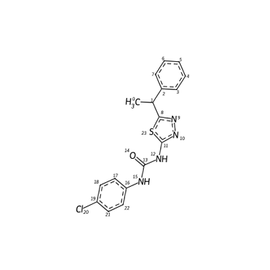 CC(c1ccccc1)c1nnc(NC(=O)Nc2ccc(Cl)cc2)s1